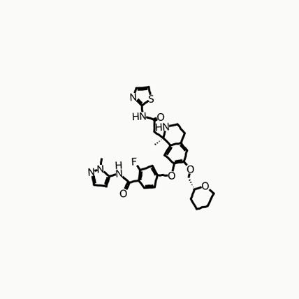 Cn1nccc1NC(=O)c1ccc(Oc2cc3c(cc2OC[C@H]2CCCCO2)CCN[C@]3(C)CC(=O)Nc2nccs2)cc1F